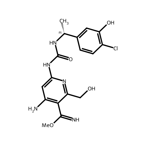 COC(=N)c1c(N)cc(NC(=O)N[C@H](C)c2ccc(Cl)c(O)c2)nc1CO